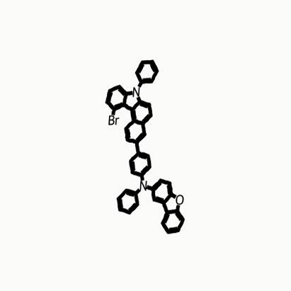 Brc1cccc2c1c1c3ccc(-c4ccc(N(c5ccccc5)c5ccc6oc7ccccc7c6c5)cc4)cc3ccc1n2-c1ccccc1